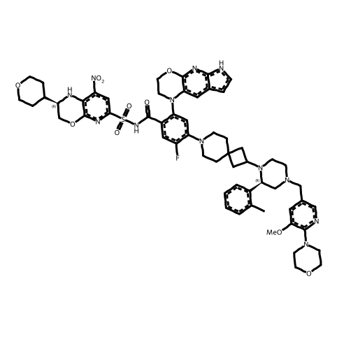 COc1cc(CN2CCN(C3CC4(CCN(c5cc(N6CCOc7nc8[nH]ccc8cc76)c(C(=O)NS(=O)(=O)c6cc([N+](=O)[O-])c7c(n6)OC[C@@H](C6CCOCC6)N7)cc5F)CC4)C3)[C@H](c3ccccc3C)C2)cnc1N1CCOCC1